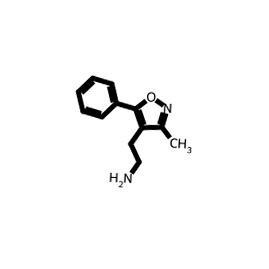 Cc1noc(-c2ccccc2)c1CCN